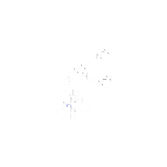 CCC(C)(N/C(=N/C1CCCCC1)NC1CCCCC1)C(C)COC(C)(C)C(C)N1CN(CCCN2CCCN=C2C)CN(CCCN2CCCN=C2C)C1